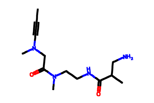 CC#CN(C)CC(=O)N(C)CCNC(=O)C(C)CN